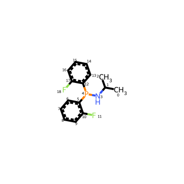 CC(C)NP(c1ccccc1F)c1ccccc1F